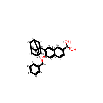 OB(O)c1ccc2cc(OCc3ccccc3)c(C34CC5CC(CC(C5)C3)C4)cc2c1